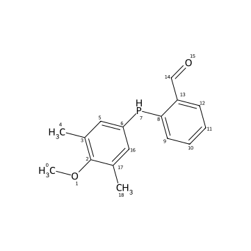 COc1c(C)cc(Pc2ccccc2C=O)cc1C